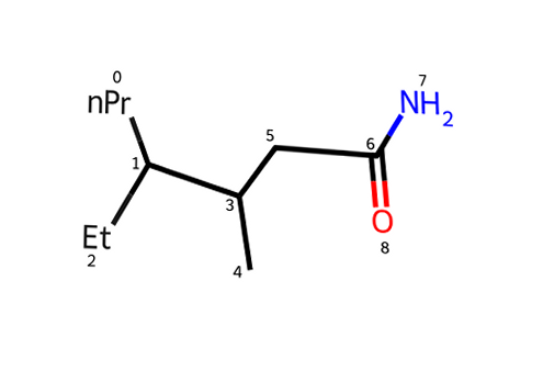 CCCC(CC)C(C)CC(N)=O